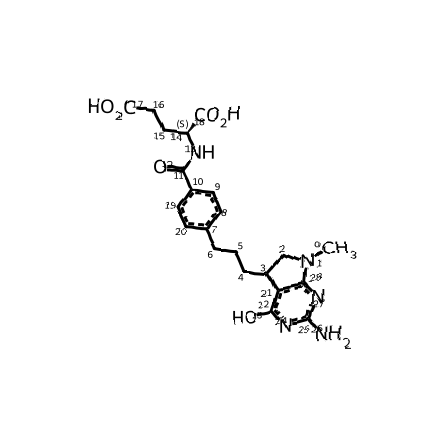 CN1CC(CCCc2ccc(C(=O)N[C@@H](CCC(=O)O)C(=O)O)cc2)c2c(O)nc(N)nc21